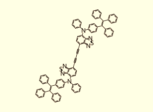 C(C#Cc1ccc(N(c2ccccc2)c2ccc(C(=C(c3ccccc3)c3ccccc3)c3ccccc3)cc2)c2nsnc12)#Cc1ccc(N(c2ccccc2)c2ccc(C(=C(c3ccccc3)c3ccccc3)c3ccccc3)cc2)c2nsnc12